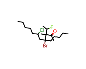 CCCCCC(Cl)CC(Br)(CCCCC)C(C)(C(C)=O)C(C)F